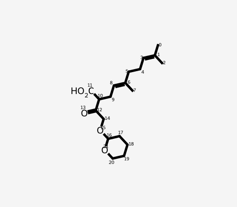 CC(C)=CCC/C(C)=C/CC(C(=O)O)C(=O)COC1CCCCO1